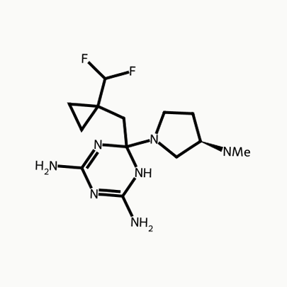 CN[C@@H]1CCN(C2(CC3(C(F)F)CC3)N=C(N)N=C(N)N2)C1